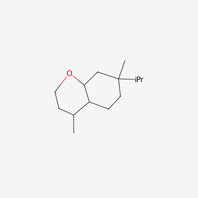 CC1CCOC2CC(C)(C(C)C)CCC12